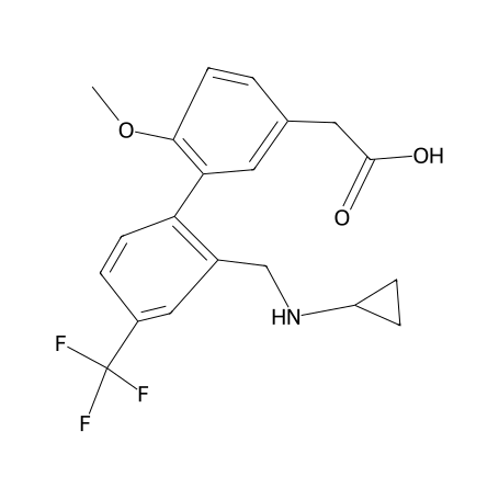 COc1ccc(CC(=O)O)cc1-c1ccc(C(F)(F)F)cc1CNC1CC1